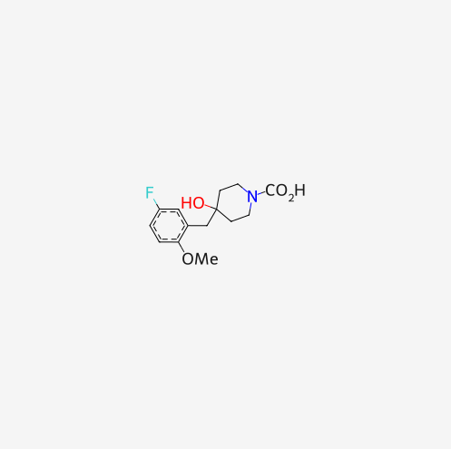 COc1ccc(F)cc1CC1(O)CCN(C(=O)O)CC1